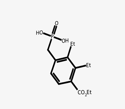 CCOC(=O)c1ccc(CP(=O)(O)O)c(CC)c1CC